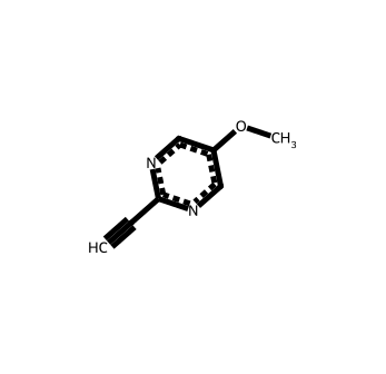 C#Cc1ncc(OC)cn1